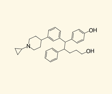 OCCCC(c1ccccc1)C(c1ccc(O)cc1)c1cccc(C2CCN(C3CC3)CC2)c1